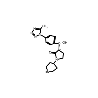 Cc1nnnn1-c1ccc(O[C@H]2CCN(C3CCNCC3)C2=O)cc1.Cl